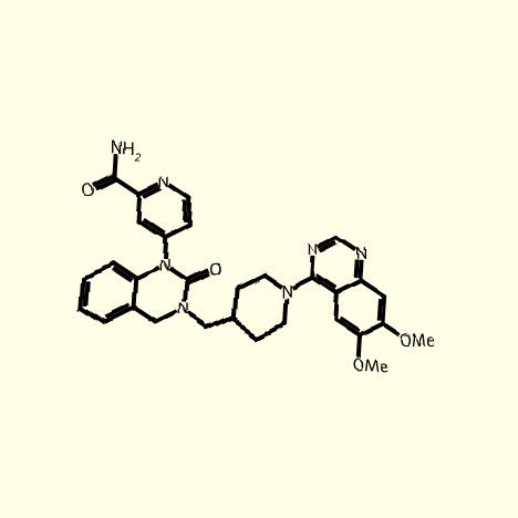 COc1cc2ncnc(N3CCC(CN4Cc5ccccc5N(c5ccnc(C(N)=O)c5)C4=O)CC3)c2cc1OC